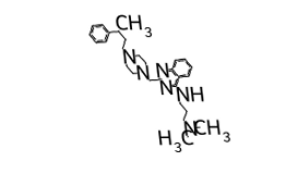 CC(CCN1CCN(Cc2nc(NCCCN(C)C)c3ccccc3n2)CC1)c1ccccc1